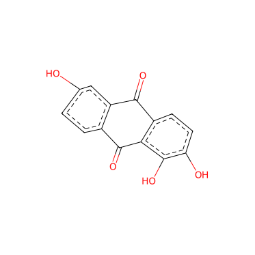 O=C1c2cc(O)ccc2C(=O)c2c1ccc(O)c2O